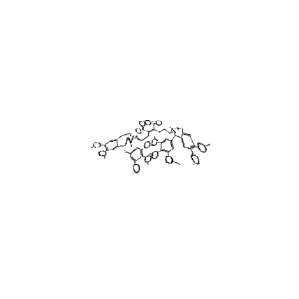 COc1cc2c(cc1OC)[C@@H](c1cc(OC)c(OC)c(OC)c1)[N@@+](C)(CCCC(C(=O)[O-])=C(CCC[N@@+]1(C)CCc3cc(OC)c(OC)cc3[C@H]1Cc1cc(OC)c(OC)c(OC)c1)C(=O)[O-])CC2